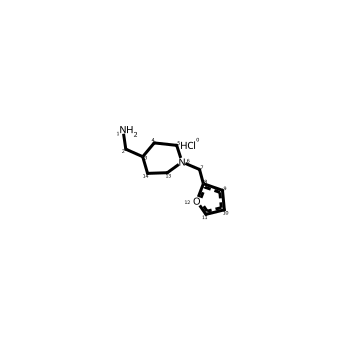 Cl.NCC1CCN(Cc2ccco2)CC1